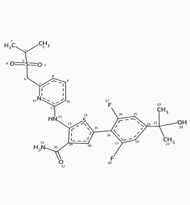 CC(C)S(=O)(=O)Cc1cccc(Nc2sc(-c3c(F)cc(C(C)(C)O)cc3F)cc2C(N)=O)n1